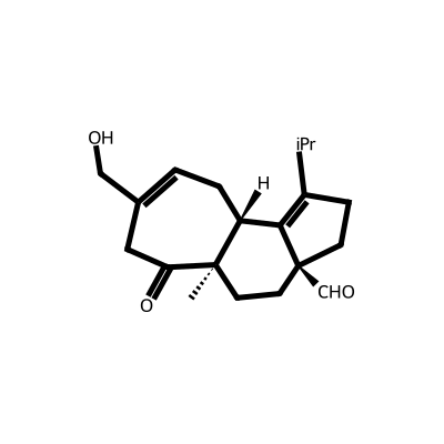 CC(C)C1=C2[C@H]3CC=C(CO)CC(=O)[C@]3(C)CC[C@@]2(C=O)CC1